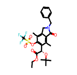 CCOC(=O)[C@@H](OC(C)(C)C)c1c(C)c2c(c(C)c1OS(=O)(=O)C(F)(F)F)CN(Cc1ccccc1)C2=O